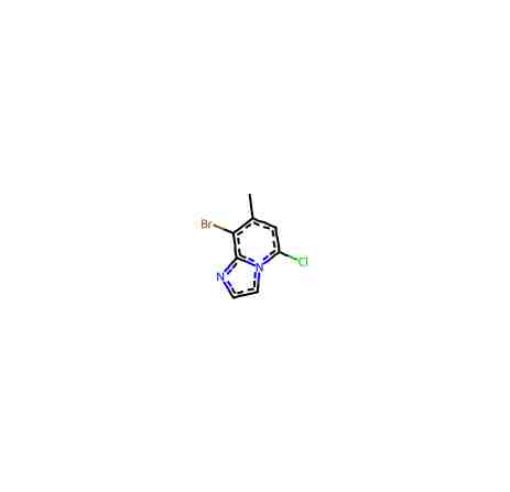 Cc1cc(Cl)n2ccnc2c1Br